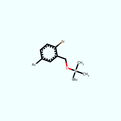 CC(=O)c1ccc(Br)c(CO[Si](C)(C)C(C)(C)C)c1